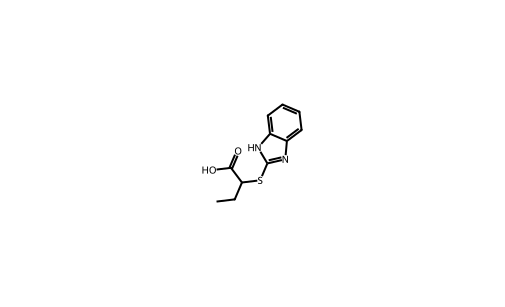 CCC(Sc1nc2ccccc2[nH]1)C(=O)O